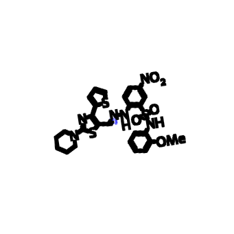 COc1ccccc1NS(=O)(=O)c1cc([N+](=O)[O-])ccc1N/N=C/c1sc(N2CCCCC2)nc1-c1cccs1